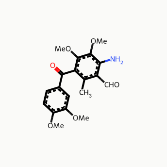 COc1ccc(C(=O)c2c(C)c(C=O)c(N)c(OC)c2OC)cc1OC